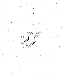 C=CC(=O)[O-].C=CC(=O)[O-].[Co+2].[Fe]